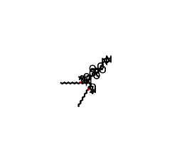 CCCCCCCCCCCCC(CN(CCC(C=O)COc1c(OC)cc(C(=O)OCCN2CCN(C)CC2)cc1OC)CC(CCCCCCCCCCCC)O[Si](C)(C)C(C)(C)C)O[Si](C)(C)C(C)(C)C